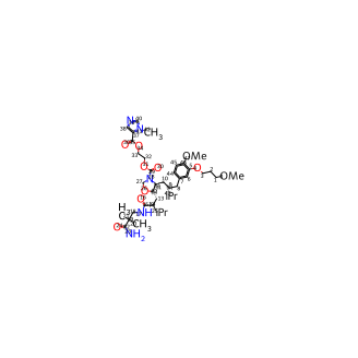 COCCCOc1cc(C[C@@H](C[C@H]2[C@H](C[C@H](C(=O)NCC(C)(C)C(N)=O)C(C)C)OCN2C(=O)OCCOC(=O)c2cncn2C)C(C)C)ccc1OC